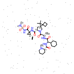 C=C[C@@H]1C[C@]1(NC(=O)[C@@H]1C[C@@]2(CN1C(=O)[C@@H](NC(=O)C(NC(=O)[C@@H]1CCCCN1C(C)C)C1CCCCC1)C(C)(C)C)C(C)(C)C21CCC1)C(=O)NS(=O)(=O)N(C)CC